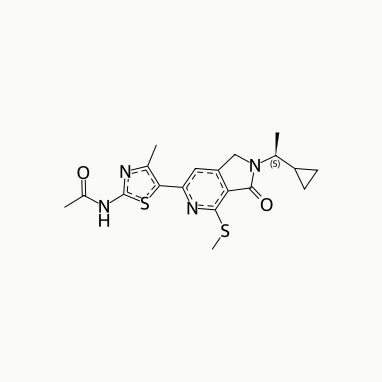 CSc1nc(-c2sc(NC(C)=O)nc2C)cc2c1C(=O)N([C@@H](C)C1CC1)C2